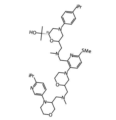 CSc1ccc(N2CCOC(CN(C)CC3COCCN3c3ccc(C(C)C)nc3)C2)c(CN(C)CC2CN(c3ccc(C(C)C)cc3)C[C@@H](C(C)(C)O)O2)n1